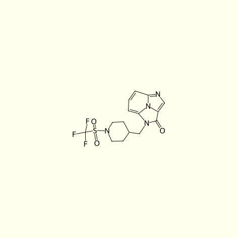 O=c1c2cnc3cccc(n1CC1CCN(S(=O)(=O)C(F)(F)F)CC1)n32